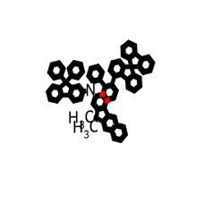 CC1(C)c2cc(N(c3ccc4c(c3)C(c3ccccc3)(c3ccccc3)c3ccccc3-4)c3ccccc3-c3ccccc3-c3cccc4c3-c3ccccc3C43c4ccccc4-c4ccccc43)ccc2-c2cc3ccccc3cc21